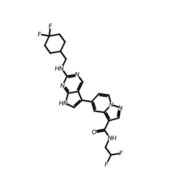 O=C(NCC(F)F)c1cnn2ccc(-c3c[nH]c4nc(NCC5CCC(F)(F)CC5)ncc34)cc12